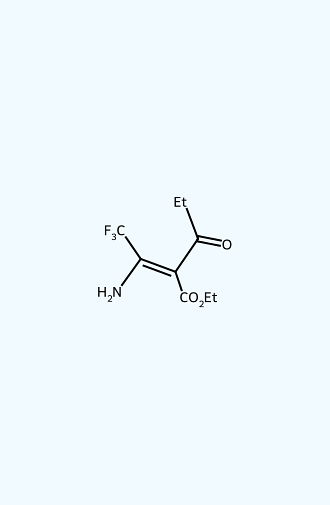 CCOC(=O)C(C(=O)CC)=C(N)C(F)(F)F